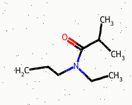 [CH2]CCN(CC)C(=O)C(C)C